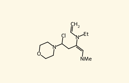 C=CN(CC)/C(=C/NC)CC(Cl)N1CCOCC1